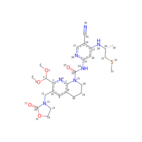 COC(OC)c1nc2c(cc1CN1CCOC1=O)CCCN2C(=O)Nc1cc(N[C@H](C)CSC)c(C#N)cn1